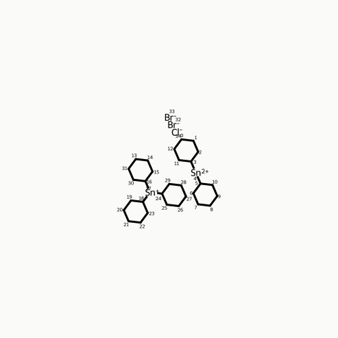 C1CC[CH]([Sn+2][CH]2CCCCC2)CC1.C1CC[CH]([Sn+]([CH]2CCCCC2)[CH]2CCCCC2)CC1.[Br-].[Br-].[Cl-]